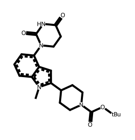 Cn1c(C2CCN(C(=O)OC(C)(C)C)CC2)cc2c(N3CCC(=O)NC3=O)cccc21